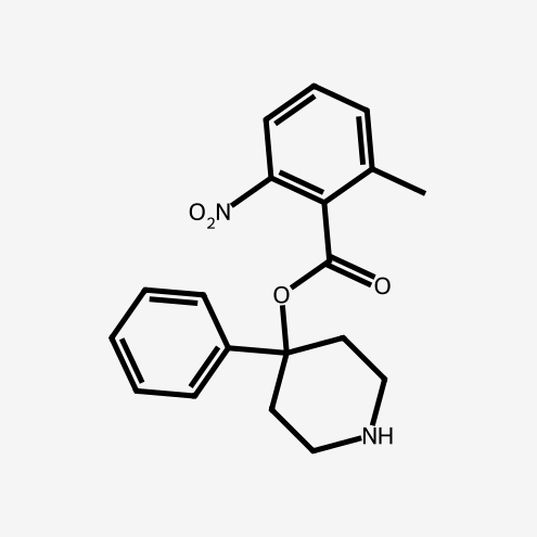 Cc1cccc([N+](=O)[O-])c1C(=O)OC1(c2ccccc2)CCNCC1